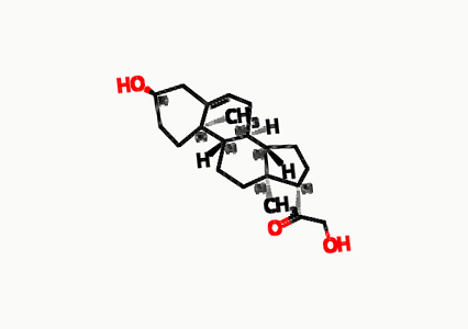 C[C@]12CC[C@H]3[C@@H](CC=C4C[C@H](O)CC[C@@]43C)[C@@H]1CC[C@@H]2C(=O)CO